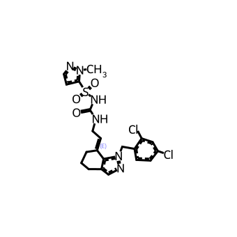 Cn1nccc1S(=O)(=O)NC(=O)NC/C=C1\CCCc2cnn(Cc3ccc(Cl)cc3Cl)c21